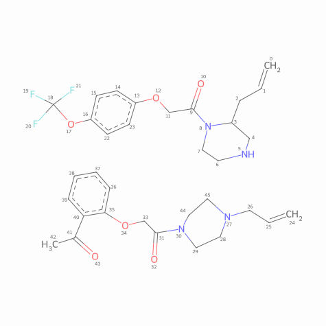 C=CCC1CNCCN1C(=O)COc1ccc(OC(F)(F)F)cc1.C=CCN1CCN(C(=O)COc2ccccc2C(C)=O)CC1